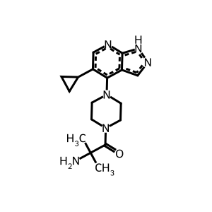 CC(C)(N)C(=O)N1CCN(c2c(C3CC3)cnc3[nH]ncc23)CC1